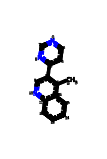 Cc1c(-c2ccncn2)cnc2ccccc12